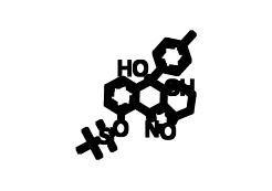 Cc1ccc(C2(O)c3cccc(O[Si](C)(C)C(C)(C)C)c3-c3noc4c3C2(O)CCC4)cc1